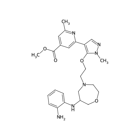 COC(=O)c1cc(C)nc(-c2cnn(C)c2OCCN2CCOCC(Nc3ccccc3N)C2)c1